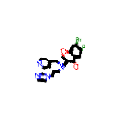 O=c1c(CN(CCCn2ccnc2)Cc2ccncc2)coc2cc(Br)c(F)cc12